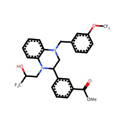 COC(=O)c1cccc(C2CN(Cc3cccc(OC(F)(F)F)c3)c3ccccc3N2CC(O)C(F)(F)F)c1